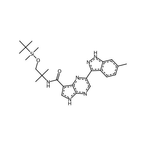 Cc1ccc2c(-c3cnc4[nH]cc(C(=O)NC(C)(C)CO[Si](C)(C)C(C)(C)C)c4n3)n[nH]c2c1